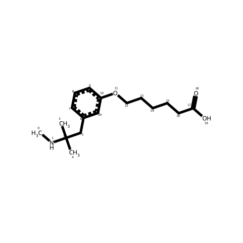 CNC(C)(C)Cc1cccc(OCCCCCC(=O)O)c1